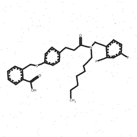 CCCCCCCN(Cc1ccc(F)cc1F)C(=O)CCc1ccc(SCc2ccccc2C(=O)O)cc1